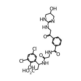 O=C(O)CC(NC(=O)CNC(=O)c1cccc(C(=O)CNC2=NCC(O)CN2)c1)c1cc(Cl)cc(Cl)c1O